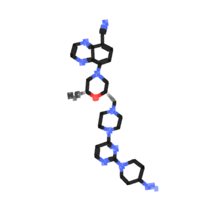 C[C@@H]1CN(c2ccc(C#N)c3nccnc23)C[C@H](CN2CCN(c3ccnc(N4CCC(N)CC4)n3)CC2)O1